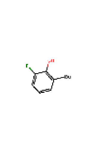 CCC(C)c1cccc(F)c1O